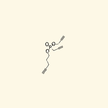 C#CCCCOP(=O)(CC#C)OCC#C